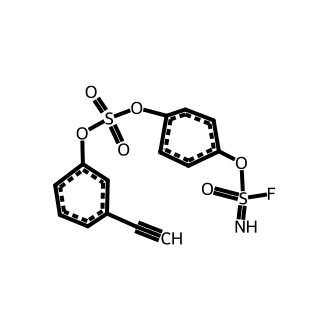 C#Cc1cccc(OS(=O)(=O)Oc2ccc(OS(=N)(=O)F)cc2)c1